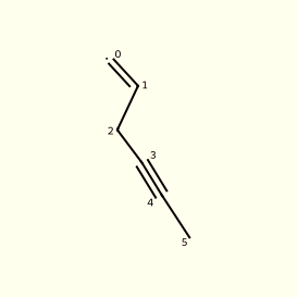 [CH]=CCC#CC